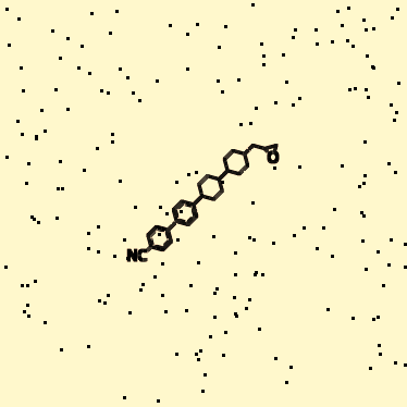 N#Cc1ccc(-c2ccc(C3CCC(C4CCC(CC5CO5)CC4)CC3)cc2)cc1